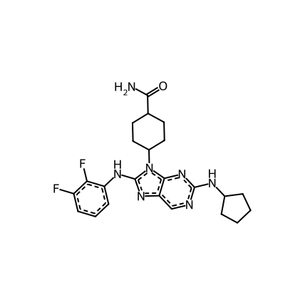 NC(=O)C1CCC(n2c(Nc3cccc(F)c3F)nc3cnc(NC4CCCC4)nc32)CC1